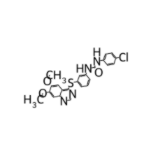 COc1cc2ncnc(Sc3cccc(NC(=O)Nc4ccc(Cl)cc4)c3)c2cc1OC